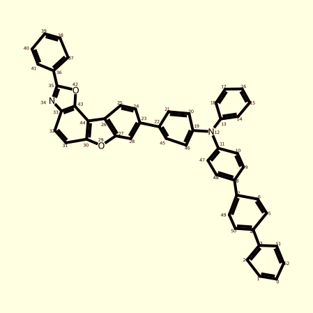 c1ccc(-c2ccc(-c3ccc(N(c4ccccc4)c4ccc(-c5ccc6c(c5)oc5ccc7nc(-c8ccccc8)oc7c56)cc4)cc3)cc2)cc1